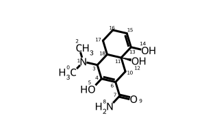 CN(C)C1C(O)=C(C(N)=O)C[C@@]2(O)C(O)=CCCC12